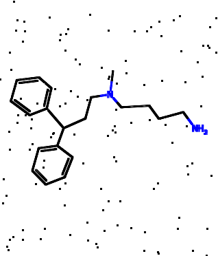 CN(CCCCN)CCC(c1ccccc1)c1ccccc1